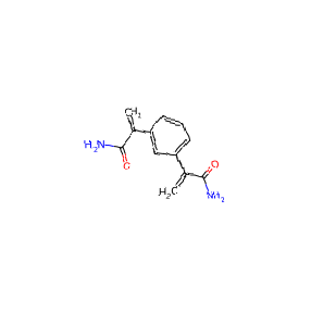 C=C(C(N)=O)c1cccc(C(=C)C(N)=O)c1